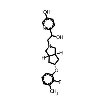 Cc1cccc(O[C@@H]2C[C@@H]3CN(CC(O)c4ccc(O)cn4)C[C@@H]3C2)c1F